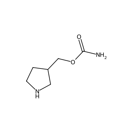 NC(=O)OCC1CCNC1